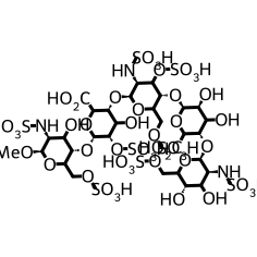 CO[C@@H]1OC(COS(=O)(=O)O)[C@@H](O[C@@H]2OC(C(=O)O)[C@H](O[C@@H]3OC(COS(=O)(=O)O)[C@@H](O[C@@H]4OC(C(=O)O)[C@@H](O[C@@H]5OC(COS(=O)(=O)O)[C@@H](O)C(O)[C@@H]5NS(=O)(=O)O)C(O)[C@@H]4O)C(OS(=O)(=O)O)[C@@H]3NS(=O)(=O)O)C(O)[C@@H]2OS(=O)(=O)O)C(O)[C@@H]1NS(=O)(=O)O